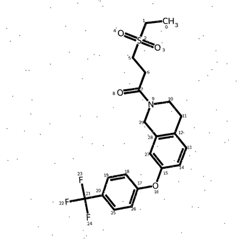 CCS(=O)(=O)CCC(=O)N1CCc2ccc(Oc3ccc(C(F)(F)F)cc3)cc2C1